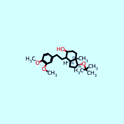 COc1ccc(CCC2C(O)CC[C@]3(C)[C@@H](OC(C)(C)C)CC[C@@H]23)cc1OC